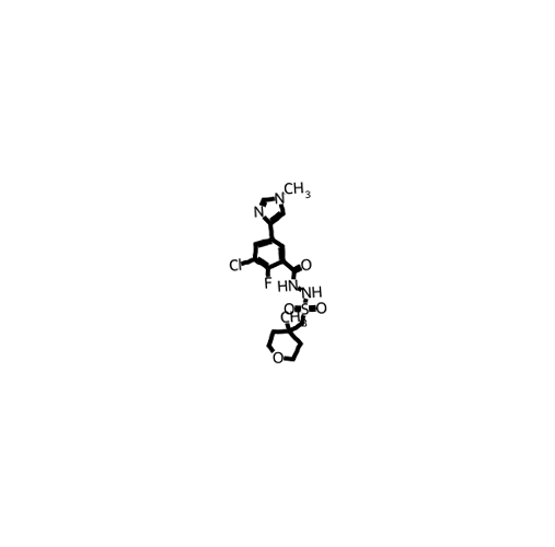 Cn1cnc(-c2cc(Cl)c(F)c(C(=O)NNS(=O)(=O)CC3(C)CCOCC3)c2)c1